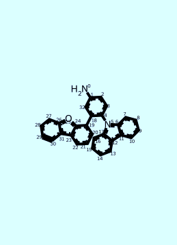 Nc1ccc(-n2c3ccccc3c3ccccc32)c(-c2cccc3c2oc2ccc#cc23)c1